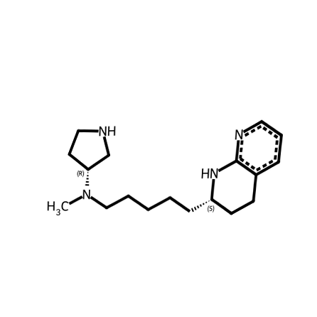 CN(CCCCC[C@H]1CCc2cccnc2N1)[C@@H]1CCNC1